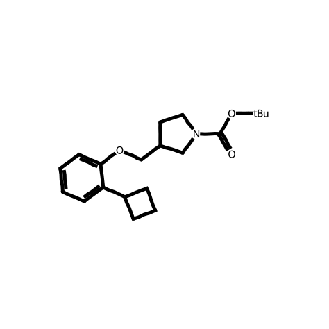 CC(C)(C)OC(=O)N1CCC(COc2ccccc2C2CCC2)C1